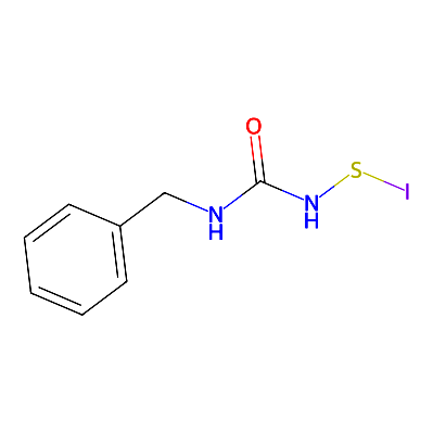 O=C(NCc1ccccc1)NSI